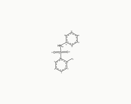 Cc1ccccc1S(=O)(=O)Nc1[c]cccc1